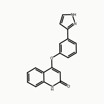 O=c1cc(Oc2cccc(-c3cc[nH]n3)c2)c2ccccc2[nH]1